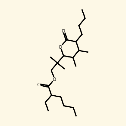 CCCCC(CC)C(=O)OCC(C)(C)C1OC(=O)C(CCCC)C(C)C1C